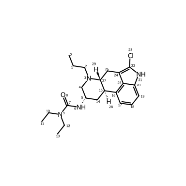 CCCN1C[C@@H](NC(=O)N(CC)CC)C[C@@H]2c3cccc4[nH]c(Cl)c(c34)C[C@H]21